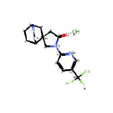 Cl.O=C1C[C@@]2(CC3CCC2CN3)CN1c1ccc(C(F)(F)F)cn1